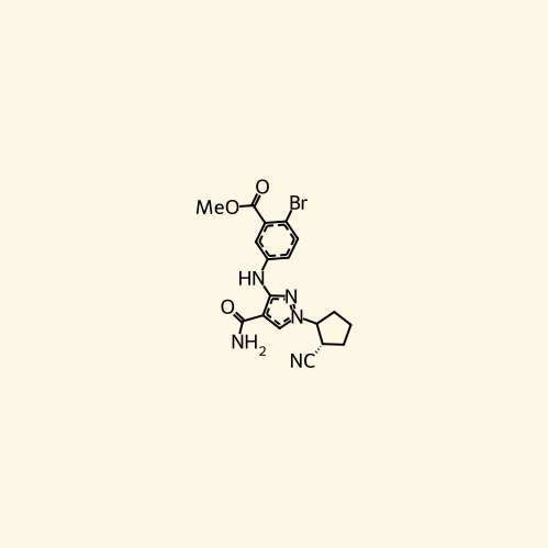 COC(=O)c1cc(Nc2nn(C3CCC[C@@H]3C#N)cc2C(N)=O)ccc1Br